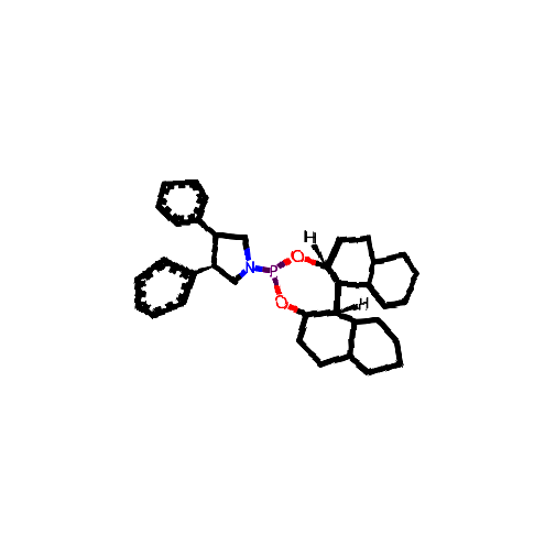 c1ccc(C2CN(P3OC4CCC5CCCCC5[C@H]4C4C5CCCCC5CC[C@H]4O3)C[C@H]2c2ccccc2)cc1